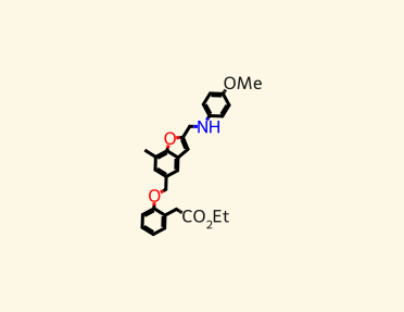 CCOC(=O)Cc1ccccc1OCc1cc(C)c2oc(CNc3ccc(OC)cc3)cc2c1